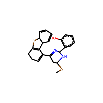 CSC1CC(C2=CCCC3=C2C2C=CC=CC2S3)=NC(c2ccccc2O)N1